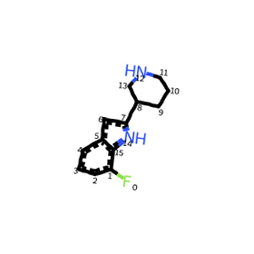 Fc1cccc2cc(C3CCCNC3)[nH]c12